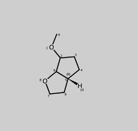 COC1CC[C@@H]2CCOC12